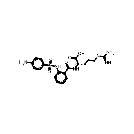 N=C(N)NCCC[C@H](NC(=O)c1ccccc1NS(=O)(=O)c1ccc(N)cc1)C(=O)O